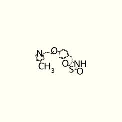 Cc1ccnc(CCOc2ccc(CC3NC(=O)SC3=O)cc2)c1